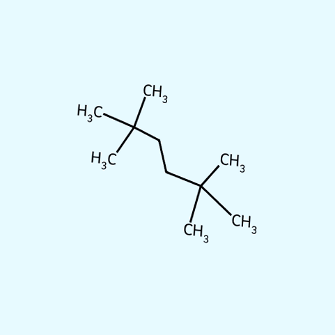 CC(C)(C)CCC(C)(C)C